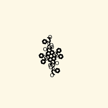 O=C1c2cc(Oc3ccccc3)c3c4c(Oc5ccccc5)cc5c6c(cc(Oc7ccccc7)c(c7c(Oc8ccccc8)cc(c2c37)C(=O)N1CC(=O)N(CC1CO1)c1ccccc1)c64)C(=O)N(CC(=O)N(CC1CO1)c1ccccc1)C5=O